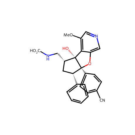 COc1cncc2c1[C@]1(O)[C@@H](CNC(=O)O)C[C@@H](c3ccccc3)[C@]1(c1ccc(C#N)cc1)O2